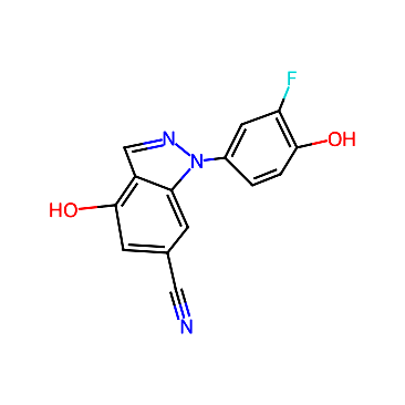 N#Cc1cc(O)c2cnn(-c3ccc(O)c(F)c3)c2c1